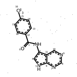 O=C(Nc1c[nH]c2ncncc12)c1ccc(C(F)(F)F)cc1